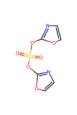 O=S(=O)(Oc1ncco1)Oc1ncco1